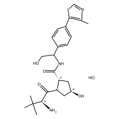 Cc1ncsc1-c1ccc(C(CO)NC(=O)[C@@H]2C[C@@H](O)CN2C(=O)[C@@H](N)C(C)(C)C)cc1.Cl